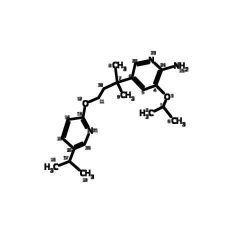 CC(C)Oc1cc(C(C)(C)CCOc2ccc(C(C)C)cn2)cnc1N